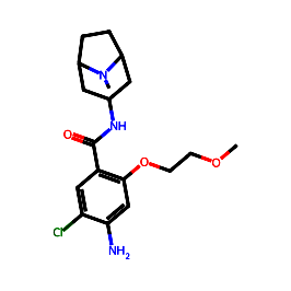 COCCOc1cc(N)c(Cl)cc1C(=O)NC1CC2CCC(C1)N2C